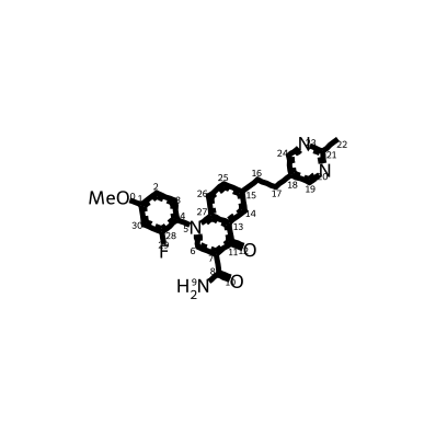 COc1ccc(-n2cc(C(N)=O)c(=O)c3cc(CCc4cnc(C)nc4)ccc32)c(F)c1